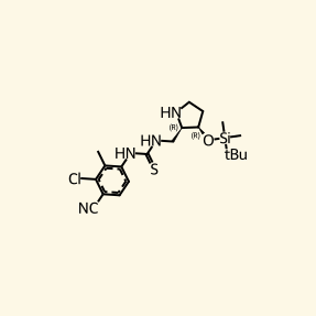 Cc1c(NC(=S)NC[C@H]2NCC[C@H]2O[Si](C)(C)C(C)(C)C)ccc(C#N)c1Cl